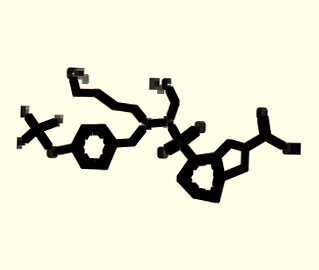 CCCCCN(Cc1ccc(OC(F)(F)F)cc1)N(CC)S(=O)(=O)c1cccc2c1CC(C(=O)O)C2